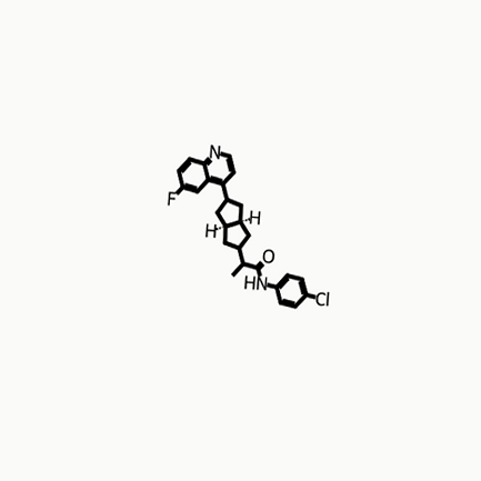 CC(C(=O)Nc1ccc(Cl)cc1)C1C[C@H]2CC(c3ccnc4ccc(F)cc34)C[C@H]2C1